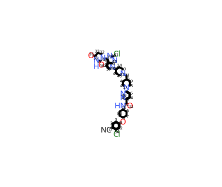 N#Cc1ccc(O[C@H]2CC[C@H](NC(=O)c3ccc(N4CCC(CN5CCC(n6ccc7c(N8CCC(=O)NC8=O)nc(Cl)nc76)CC5)CC4)nn3)CC2)cc1Cl